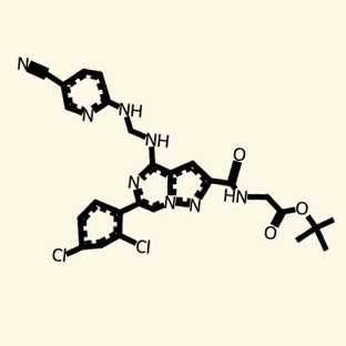 CC(C)(C)OC(=O)CNC(=O)c1cc2c(NCNc3ccc(C#N)cn3)nc(-c3ccc(Cl)cc3Cl)cn2n1